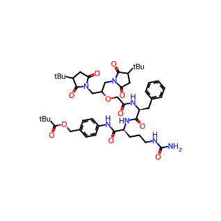 CC(C)(C)C(=O)OCc1ccc(NC(=O)[C@H](CCCNC(N)=O)NC(=O)[C@H](Cc2ccccc2)NC(=O)COC(CN2C(=O)CC(C(C)(C)C)C2=O)CN2C(=O)CC(C(C)(C)C)C2=O)cc1